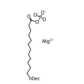 CCCCCCCCCCCCCCCCCCCCCC(=O)OP(=O)([O-])[O-].[Mg+2]